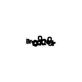 CC(C)(C)OC(=O)N1CCC2(CC1)Cc1ccc(Br)cc1C2=O